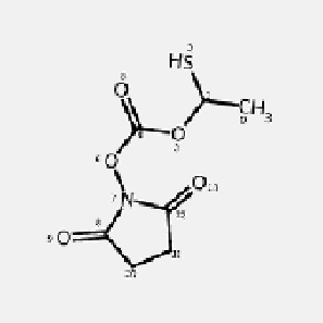 CC(S)OC(=O)ON1C(=O)CCC1=O